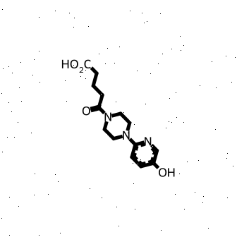 O=C(O)CCCC(=O)N1CCN(c2ccc(O)cn2)CC1